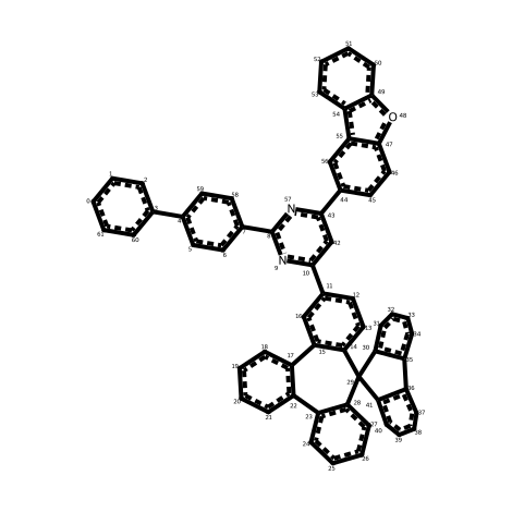 c1ccc(-c2ccc(-c3nc(-c4ccc5c(c4)-c4ccccc4-c4ccccc4C54c5ccccc5-c5ccccc54)cc(-c4ccc5oc6ccccc6c5c4)n3)cc2)cc1